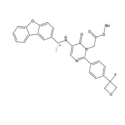 C[C@@H](Nc1cnc(-c2ccc(C3(F)COC3)cc2)n(CC(=O)OC(C)(C)C)c1=O)c1ccc2oc3ccccc3c2c1